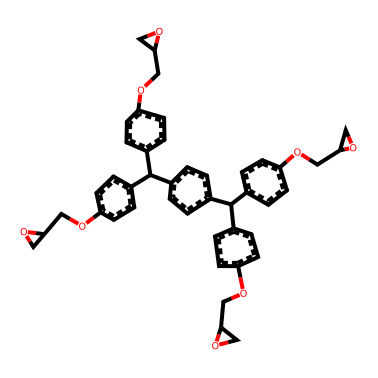 c1cc(C(c2ccc(OCC3CO3)cc2)c2ccc(C(c3ccc(OCC4CO4)cc3)c3ccc(OCC4CO4)cc3)cc2)ccc1OCC1CO1